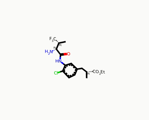 CCOC(=O)[C@H](C)Cc1ccc(Cl)c(NC(=O)[C@H](N)[C@@H](C)C(F)(F)F)c1